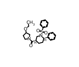 CCOC1CCN(C(=O)[C@@H]2CC[C@H](c3ccccc3)N(S(=O)(=O)c3ccccc3)C2)C1